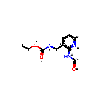 CCOC(=O)NCc1cccnc1NC=O